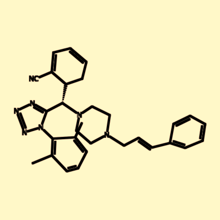 Cc1cccc(C)c1-n1nnnc1[C@H](C1CC=CC=C1C#N)N1CCN(C/C=C/c2ccccc2)CC1